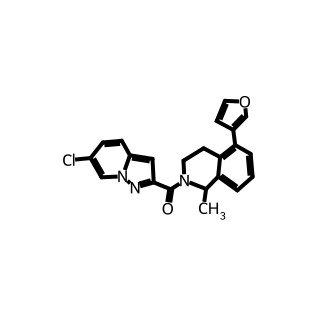 CC1c2cccc(-c3ccoc3)c2CCN1C(=O)c1cc2ccc(Cl)cn2n1